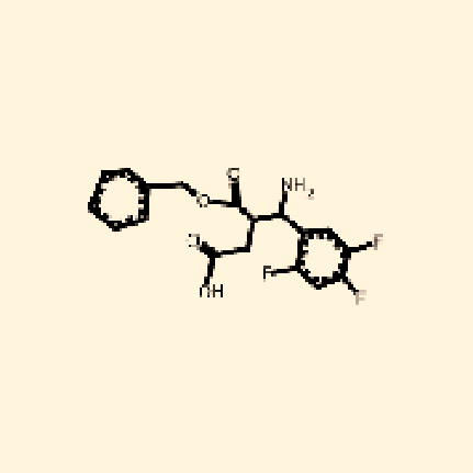 NC(c1cc(F)c(F)cc1F)C(CC(=O)O)C(=O)OCc1ccccc1